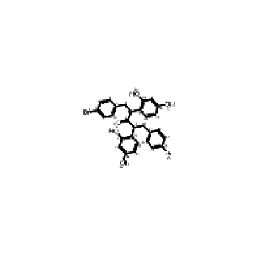 O=C(C(Cc1ccc(Br)cc1)c1ccc(O)cc1O)C(Cc1ccc(Br)cc1)c1ccc(O)cc1O